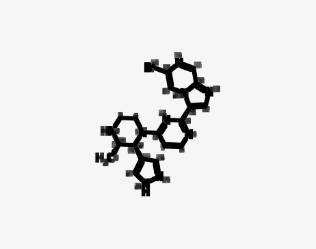 C[C@H]1NCCN(c2ccnc(-c3cnc4cnc(Br)cn34)n2)[C@H]1c1cn[nH]c1